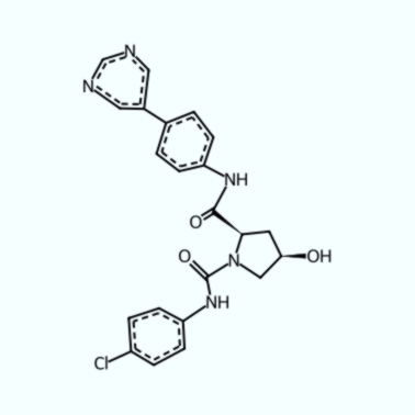 O=C(Nc1ccc(-c2cncnc2)cc1)[C@H]1C[C@@H](O)CN1C(=O)Nc1ccc(Cl)cc1